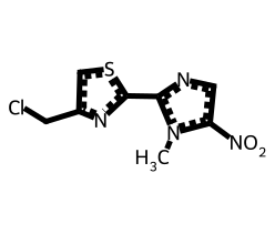 Cn1c([N+](=O)[O-])cnc1-c1nc(CCl)cs1